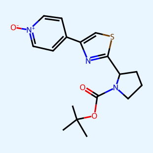 CC(C)(C)OC(=O)N1CCCC1c1nc(-c2cc[n+]([O-])cc2)cs1